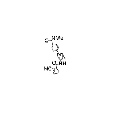 CNC(=O)c1ccc(-n2cnc(NC(=O)C3CCCN3C#N)c2)cc1